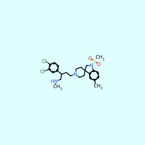 CNCC(CCN1CCC2(CC1)CN(S(C)(=O)=O)c1ccc(C)cc12)c1ccc(Cl)c(Cl)c1